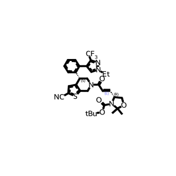 CCn1cc(-c2ccccc2[C@@H]2CN(C(=O)/C=C/[C@@H]3COC(C)(C)N3C(=O)OC(C)(C)C)Cc3sc(C#N)cc32)c(C(F)(F)F)n1